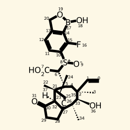 C=C[C@]1(C)C[C@@H](C(C(=O)O)[S+]([O-])c2ccc3c(c2F)B(O)OC3)[C@]2(C)[C@H](C)CC[C@]3(CCC(=O)[C@H]32)[C@@H](C)[C@@H]1O